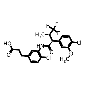 COc1cc([C@@H](C(=O)Nc2cc(CCC(=O)O)ccc2Cl)[C@@H](C)C(F)(F)F)ccc1Cl